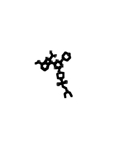 CCN(CC)CCS(=O)(=O)N1CCN(c2nc(N3CCOCC3)nc(-n3c(C(F)F)nc4c(OC)cccc43)n2)CC1